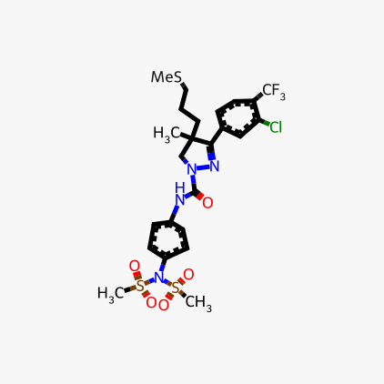 CSCCCC1(C)CN(C(=O)Nc2ccc(N(S(C)(=O)=O)S(C)(=O)=O)cc2)N=C1c1ccc(C(F)(F)F)c(Cl)c1